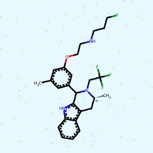 Cc1cc(OCCNCCCF)cc(C2c3[nH]c4ccccc4c3C[C@@H](C)N2CC(F)(F)F)c1